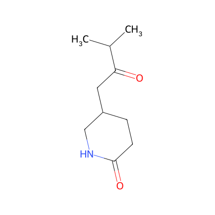 CC(C)C(=O)CC1CCC(=O)NC1